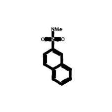 C[N]S(=O)(=O)c1ccc2ccccc2c1